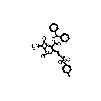 Cc1ccc(S(=O)(=O)OC=CC2=C(C(=O)OC(c3ccccc3)c3ccccc3)N3C(=O)C(N)C3[S+]([O-])C2)cc1